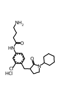 Cl.NCCCC(=O)Nc1ccc(CC2CCN(C3CCCCC3)C2=O)c(Cl)c1